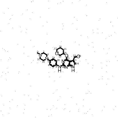 CN1CCN(c2ccc(Nc3nc(OC4CCCOC4)c4c(C=O)c[nH]c4n3)cc2)CC1